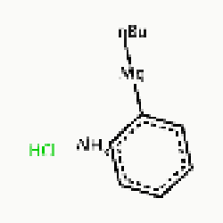 CCC[CH2][Mg][c]1ccccc1.Cl.[AlH3]